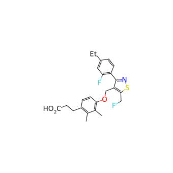 CCc1ccc(-c2nsc(CF)c2COc2ccc(CCC(=O)O)c(C)c2C)c(F)c1